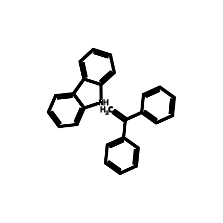 C=C(c1ccccc1)c1ccccc1.c1ccc2c(c1)[nH]c1ccccc12